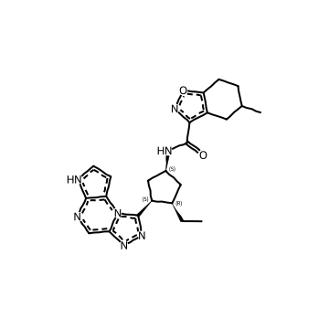 CC[C@@H]1C[C@H](NC(=O)c2noc3c2CC(C)CC3)C[C@@H]1c1nnc2cnc3[nH]ccc3n12